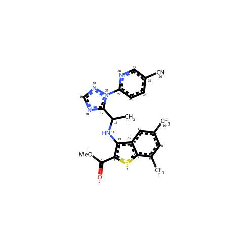 COC(=O)c1sc2c(C(F)(F)F)cc(C(F)(F)F)cc2c1NC(C)c1ncnn1-c1ccc(C#N)cn1